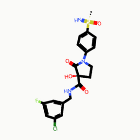 C[S@](=N)(=O)c1ccc(N2CC[C@](O)(C(=O)NCc3cc(F)cc(Cl)c3)C2=O)cc1